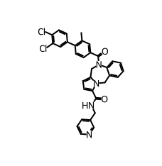 Cc1cc(C(=O)N2Cc3ccc(C(=O)NCc4cccnc4)n3Cc3ccccc32)ccc1-c1ccc(Cl)c(Cl)c1